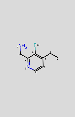 CCc1ccnc(CN)c1F